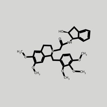 COc1cc2c(cc1OC)C(Cc1ccc(OC)c(OC)c1OC)N(CC(=O)N[C@@H]1c3ccccc3C[C@@H]1O)CC2